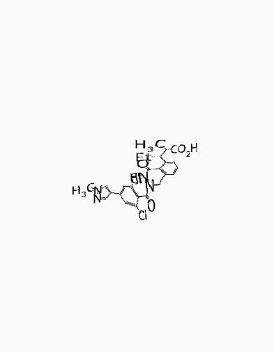 CC[C@@H](c1cccc2c1C(=O)NN(C(=O)c1c(Cl)cc(-c3cnn(C)c3)cc1Cl)C2)[C@H](C)C(=O)O